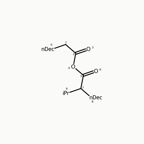 CCCCCCCCCCCC(=O)OC(=O)C(CCCCCCCCCC)C(C)C